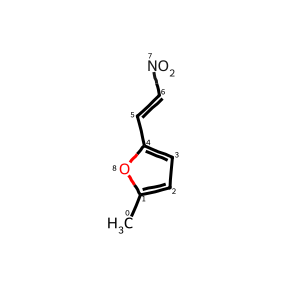 Cc1ccc(/C=C/[N+](=O)[O-])o1